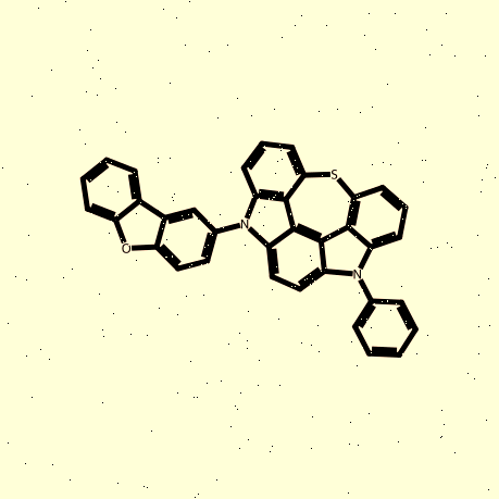 c1ccc(-n2c3cccc4sc5cccc6c5c5c(c43)c2ccc5n6-c2ccc3oc4ccccc4c3c2)cc1